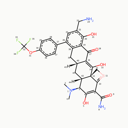 CN(C)[C@@H]1C(O)=C(C(N)=O)C2=BC[C@@]23C(O)=C2C(=O)c4c(O)c(CN)cc(-c5ccc(OC(F)(F)F)cc5)c4C[C@H]2C[C@@H]13